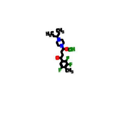 CCC(CC)N1CCN(C(=O)CCC(=O)c2cc(F)c(C)c(F)c2F)CC1.Cl